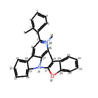 Cc1ccccc1-c1cc2c3ccccc3n3c4oc5ccccc5c4c(c23)[n+]1C